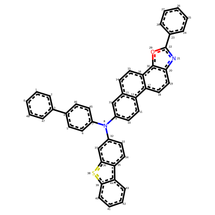 c1ccc(-c2ccc(N(c3ccc4c(ccc5c4ccc4nc(-c6ccccc6)oc45)c3)c3ccc4c(c3)sc3ccccc34)cc2)cc1